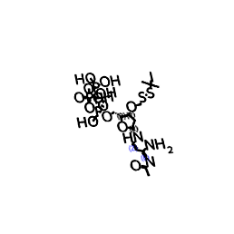 CC(=O)/N=C(N)\C=C/N[C@H]1C[C@@H](OCSSC(C)(C)I)[C@@H](COP(=O)(O)OP(=O)(O)O[PH](O)(O)O)O1